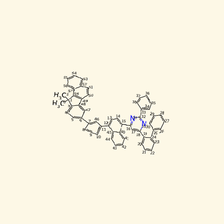 CC1(C)c2ccc(-c3cccc(-c4ccc(-c5cc(-c6ccccc6-c6ccccc6)nc(-c6ccccc6)n5)c5ccccc45)c3)cc2-c2ccc3ccccc3c21